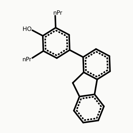 CCCc1cc(-c2cccc3c2Cc2ccccc2-3)cc(CCC)c1O